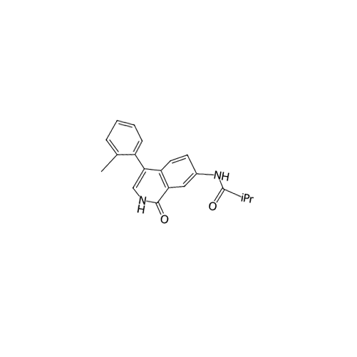 Cc1ccccc1-c1c[nH]c(=O)c2cc(NC(=O)C(C)C)ccc12